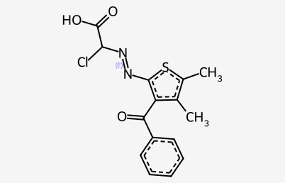 Cc1sc(/N=N/C(Cl)C(=O)O)c(C(=O)c2ccccc2)c1C